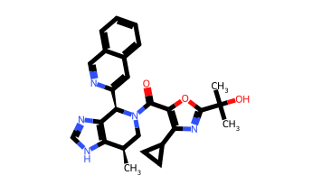 C[C@@H]1CN(C(=O)c2oc(C(C)(C)O)nc2C2CC2)[C@H](c2cc3ccccc3cn2)c2nc[nH]c21